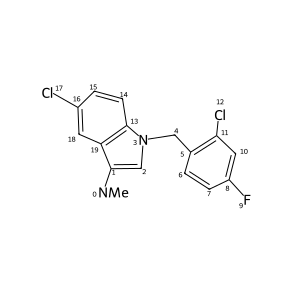 CNc1cn(Cc2ccc(F)cc2Cl)c2ccc(Cl)cc12